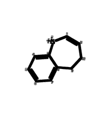 C1=C[SH]c2ccccc2CC1